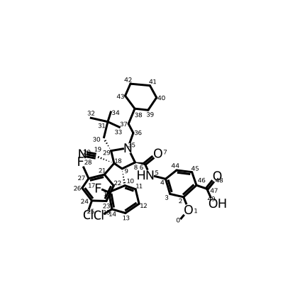 COc1cc(NC(=O)[C@H]2[C@H](c3cccc(Cl)c3F)[C@@](C#N)(c3ccc(Cl)cc3F)[C@H](CC(C)(C)C)N2CCC2CCCCC2)ccc1C(=O)O